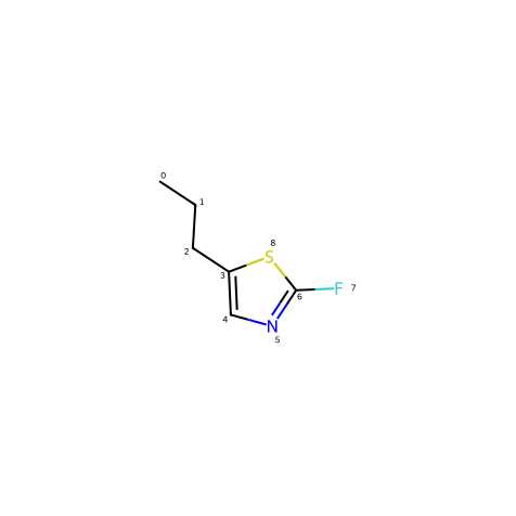 CCCc1cnc(F)s1